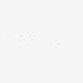 C=CC(=O)OCCCCOc1ccc(-c2ccc(/C=C/C(C)=O)cc2)cc1